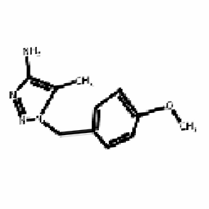 COc1ccc(Cn2nnc(N)c2C)cc1